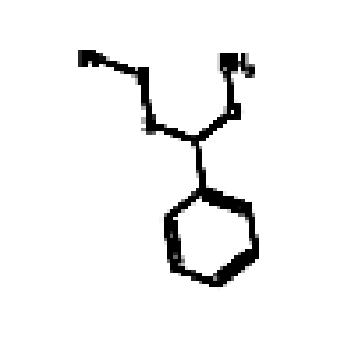 CC(C)SSC(ON)c1ccccc1